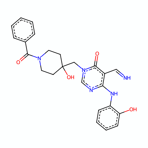 N=Cc1c(Nc2ccccc2O)ncn(CC2(O)CCN(C(=O)c3ccccc3)CC2)c1=O